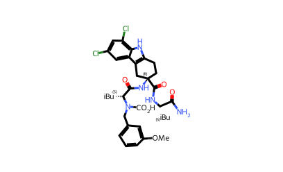 CC[C@H](C)C(NC(=O)[C@@]1(NC(=O)C([C@@H](C)CC)N(Cc2cccc(OC)c2)C(=O)O)CCc2[nH]c3c(Cl)cc(Cl)cc3c2C1)C(N)=O